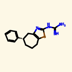 N=C(N)Nc1nc2c(s1)CCC[C@H](c1ccccc1)C2